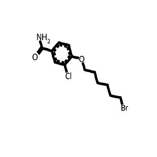 NC(=O)c1ccc(OCCCCCCBr)c(Cl)c1